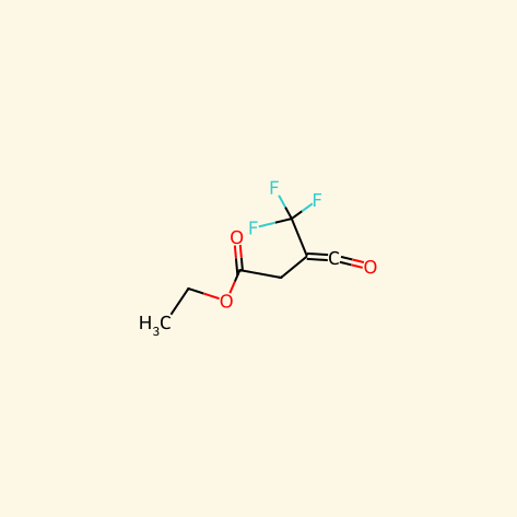 CCOC(=O)CC(=C=O)C(F)(F)F